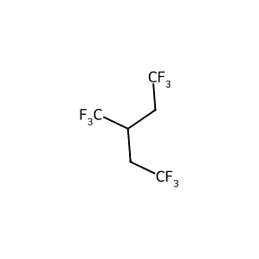 FC(F)(F)CC(CC(F)(F)F)C(F)(F)F